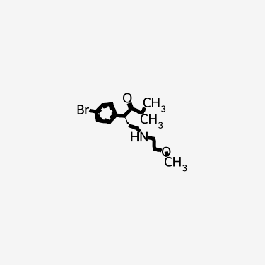 COCCNCC[C@@H](C(=O)C(C)C)c1ccc(Br)cc1